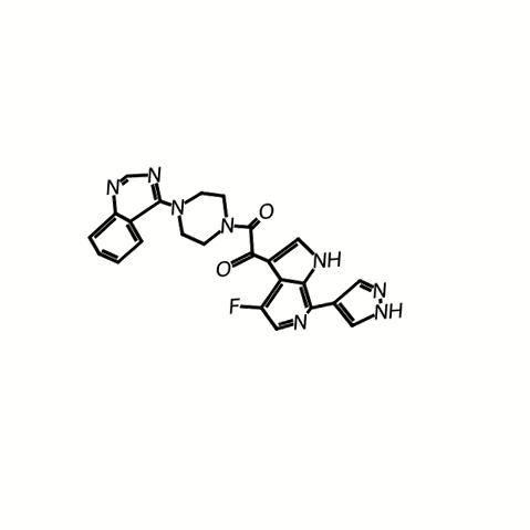 O=C(C(=O)N1CCN(c2ncnc3ccccc23)CC1)c1c[nH]c2c(-c3cn[nH]c3)ncc(F)c12